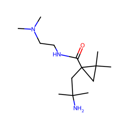 CN(C)CCNC(=O)C1(CC(C)(C)N)CC1(C)C